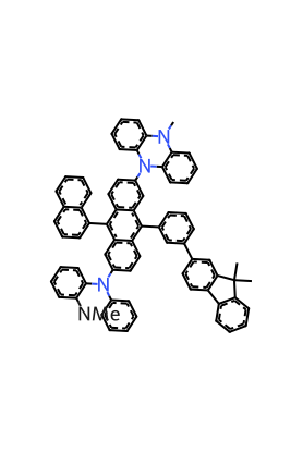 CNc1ccccc1N(c1ccccc1)c1ccc2c(-c3cccc(-c4ccc5c(c4)C(C)(C)c4ccccc4-5)c3)c3cc(N4c5ccccc5N(C)c5ccccc54)ccc3c(-c3cccc4ccccc34)c2c1